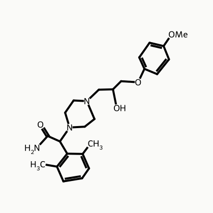 COc1ccc(OCC(O)CN2CCN(C(C(N)=O)c3c(C)cccc3C)CC2)cc1